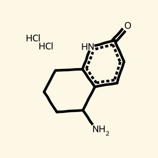 Cl.Cl.NC1CCCc2[nH]c(=O)ccc21